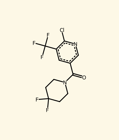 O=C(c1cnc(Cl)c(C(F)(F)F)c1)N1CCC(F)(F)CC1